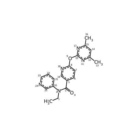 CCN(C(=O)c1ccc(Oc2nc(C)cc(C)n2)nc1)c1cccnc1